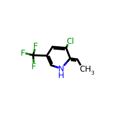 C/C=C1\NC=C(C(F)(F)F)C=C1Cl